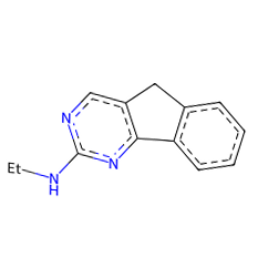 CCNc1ncc2c(n1)-c1ccccc1C2